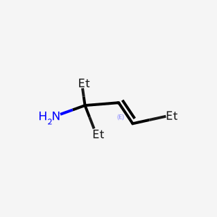 CC/C=C/C(N)(CC)CC